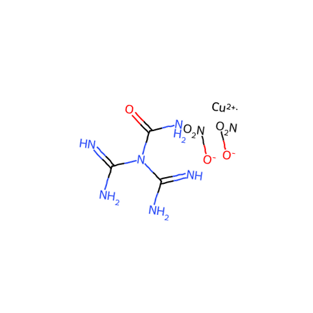 N=C(N)N(C(=N)N)C(N)=O.O=[N+]([O-])[O-].O=[N+]([O-])[O-].[Cu+2]